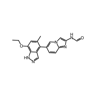 CCOc1cc(C)c(-c2ccc3nc(NC=O)cn3c2)c2cn[nH]c12